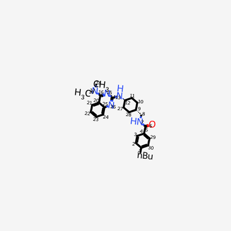 CCCCc1ccc(C(=O)NC[C@H]2CC[C@@H](Nc3nc(N(C)C)c4ccccc4n3)CC2)cc1